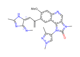 C=C(/C=C1/NC(C)=N/C1=N/C)c1cc2c(cc1OC)ncc1c2n(-c2cn(C)nc2C)c(=O)n1C